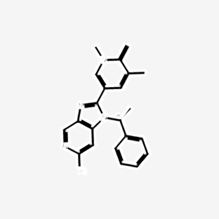 C=C1C(C)=CC(c2nc3cnc(C(C)C)cc3n2[C@@H](C)c2ccccc2)=CN1C